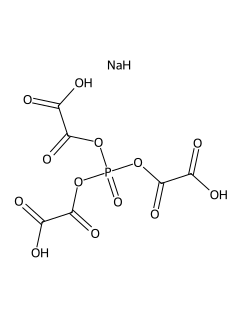 O=C(O)C(=O)OP(=O)(OC(=O)C(=O)O)OC(=O)C(=O)O.[NaH]